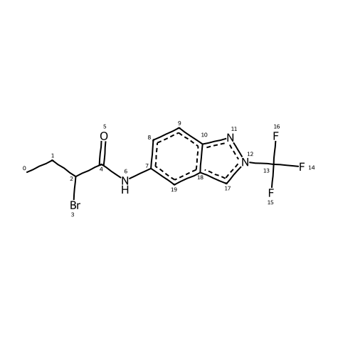 CCC(Br)C(=O)Nc1ccc2nn(C(F)(F)F)cc2c1